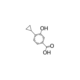 O=C(O)c1ccc(C2CC2)c(O)c1